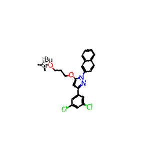 CC(C)(C)[Si](C)(C)OCCCOc1cc(-c2cc(Cl)cc(Cl)c2)nn1-c1ccc2ccccc2c1